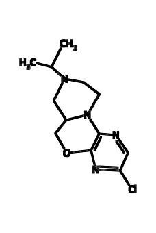 CC(C)N1CCN2c3ncc(Cl)nc3OCC2C1